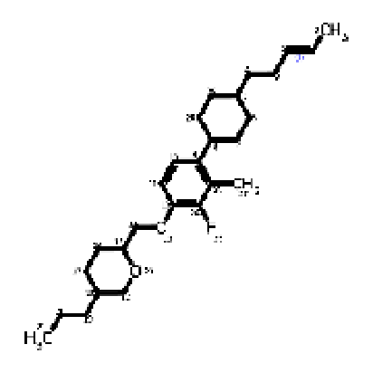 C/C=C/CCC1CCC(c2ccc(OCC3CCC(CCC)CO3)c(F)c2C)CC1